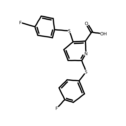 O=C(O)c1nc(Sc2ccc(F)cc2)ccc1Sc1ccc(F)cc1